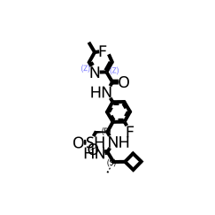 C/C=C(\N=C/C(C)F)C(=O)Nc1ccc(F)c([C@H](C[SH](=O)=O)NC(=N)[C@@H](C)C2CCC2)c1